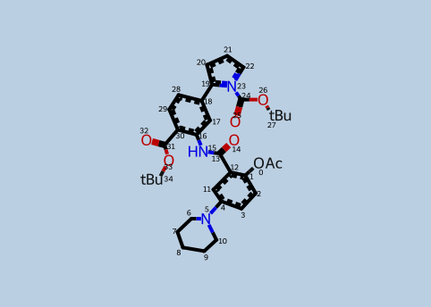 CC(=O)Oc1ccc(N2CCCCC2)cc1C(=O)Nc1cc(-c2cccn2C(=O)OC(C)(C)C)ccc1C(=O)OC(C)(C)C